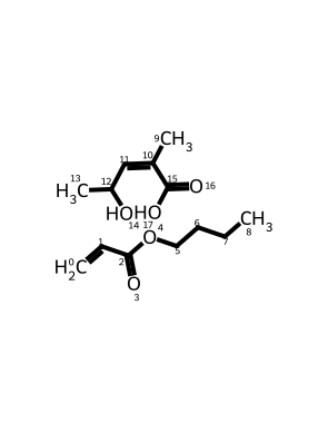 C=CC(=O)OCCCC.CC(=CC(C)O)C(=O)O